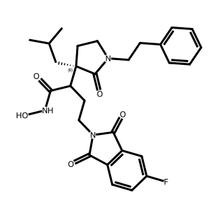 CC(C)C[C@]1(C(CCN2C(=O)c3ccc(F)cc3C2=O)C(=O)NO)CCN(CCc2ccccc2)C1=O